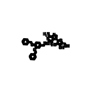 Nc1nc(NN=Cc2ccc(OCc3ccccc3)c(OCc3ccccc3)c2)nc2c1ncn2[C@@H]1O[C@H](CO)[C@@H](O)[C@H]1O